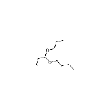 [CH2]CC(OCCC)OCCCC